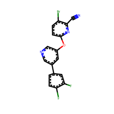 N#Cc1nc(Oc2cncc(-c3ccc(F)c(F)c3)c2)ccc1Br